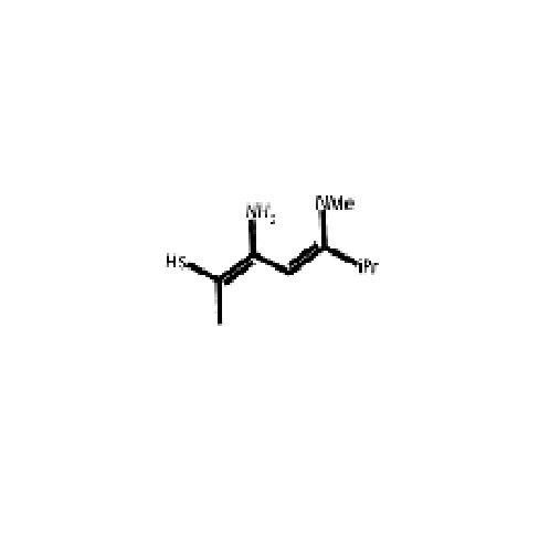 CN/C(=C\C(N)=C(/C)S)C(C)C